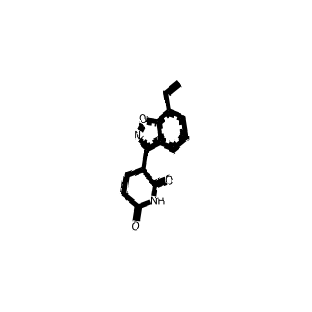 C=Cc1cccc2c(C3CCC(=O)NC3=O)noc12